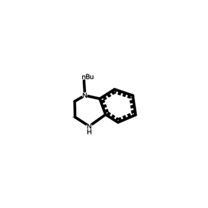 CCCCN1C[CH]Nc2ccccc21